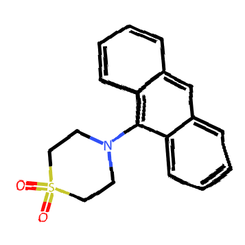 O=S1(=O)CCN(c2c3ccccc3cc3ccccc23)CC1